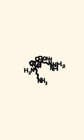 N=C(N)NCCC[C@H](NC(=O)[C@@H]1CCCN1C(=O)[C@@H](N)CCCCN)C(=O)O